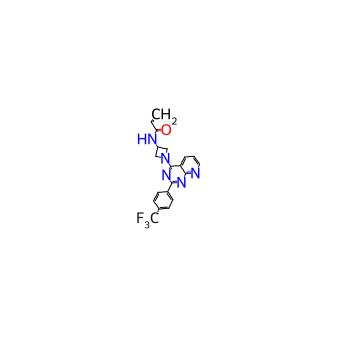 C=CC(=O)NC1CN(c2nc(-c3ccc(C(F)(F)F)cc3)nc3ncccc23)C1